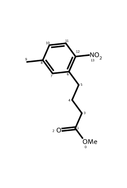 COC(=O)CCCc1cc(C)ccc1[N+](=O)[O-]